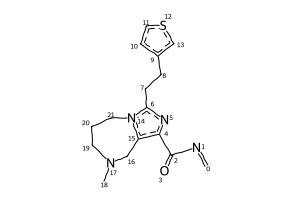 C=NC(=O)c1nc(CCc2ccsc2)n2c1CN(C)CCC2